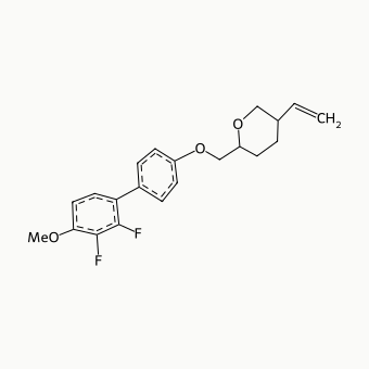 C=CC1CCC(COc2ccc(-c3ccc(OC)c(F)c3F)cc2)OC1